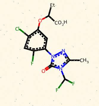 CCC(Oc1cc(-n2nc(C)n(C(F)F)c2=O)c(F)cc1Cl)C(=O)O